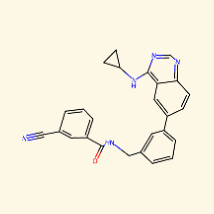 N#Cc1cccc(C(=O)NCc2cccc(-c3ccc4ncnc(NC5CC5)c4c3)c2)c1